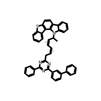 CC(/C=C\C=C/Cc1nc(-c2ccccc2)nc(-c2cccc(-c3ccccc3)c2)n1)n1c2ccccc2c2ccc3sc4ccccc4c3c21